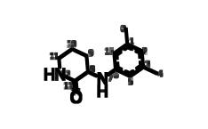 Cc1cc(C)cc(NC2CCCNC2=O)c1